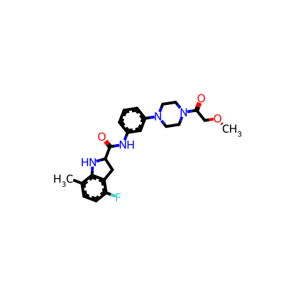 COCC(=O)N1CCN(c2cccc(NC(=O)C3Cc4c(F)ccc(C)c4N3)c2)CC1